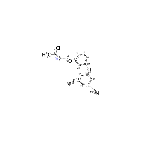 C/C(Cl)=C/COc1cccc(Oc2cc(C#N)cc(C#N)c2)c1